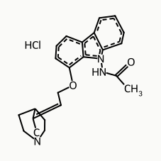 CC(=O)Nn1c2ccccc2c2cccc(OCC=C3CN4CCC3CC4)c21.Cl